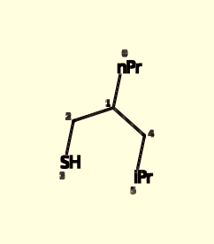 CCCC(CS)CC(C)C